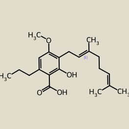 CCCc1cc(OC)c(C/C=C(\C)CCC=C(C)C)c(O)c1C(=O)O